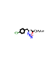 COC(=O)C[C@@H](Cc1ccc(Cl)cc1)N=[N+]=[N-]